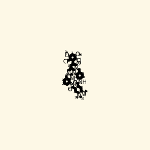 COc1cc(OC)c(Cl)c(-c2cc3cnc(Nc4c(C)cccc4NC(=O)/C=C/CN(C)C)nc3n(Cc3ccc(NC(=O)/C=C/CN(C)C)cc3)c2=O)c1Cl